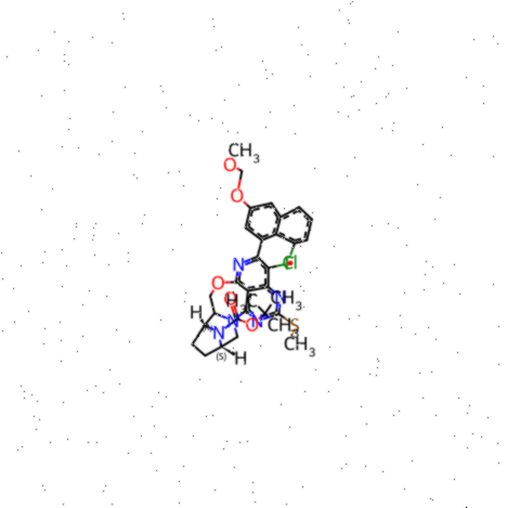 COCOc1cc(-c2nc3c4c(nc(SC)nc4c2F)N2C[C@@H]4CC[C@H](C2CO3)N4C(=O)OC(C)(C)C)c2c(Cl)cccc2c1